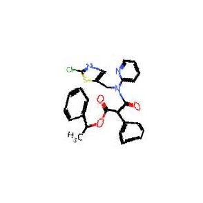 CC(OC(=O)C(C(=O)N(Cc1cnc(Cl)s1)c1ccccn1)c1ccccc1)c1ccccc1